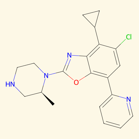 C[C@H]1CNCCN1c1nc2c(C3CC3)c(Cl)cc(-c3ccccn3)c2o1